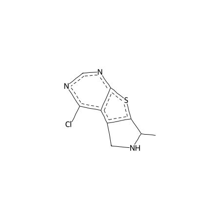 CC1NCc2c1sc1ncnc(Cl)c21